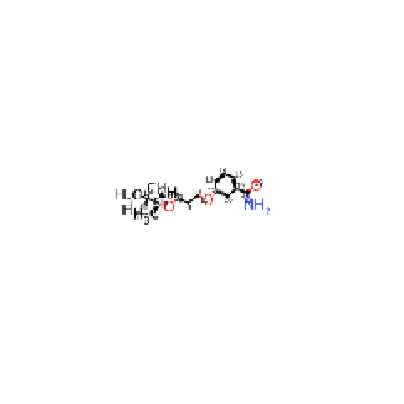 CC(C)(C)[Si](C)(C)OCCCOc1cccc(C(N)=O)c1